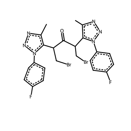 Cc1nnn(-c2ccc(F)cc2)c1C(CBr)C(=O)C(CBr)c1c(C)nnn1-c1ccc(F)cc1